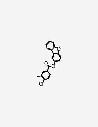 Cc1cc(C(=O)Oc2ccc3oc4ccccc4c3c2)ccc1Cl